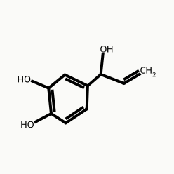 C=CC(O)c1ccc(O)c(O)c1